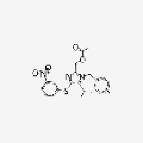 CC(=O)OCc1nc(Sc2cccc([N+](=O)[O-])c2)c(C(C)C)n1Cc1ccncc1